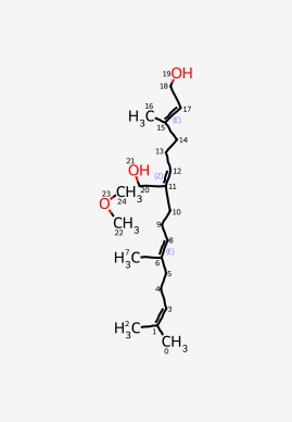 CC(C)=CCC/C(C)=C/CC/C(=C/CC/C(C)=C/CO)CO.COC